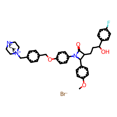 COc1ccc(C2C(CCC(O)c3ccc(F)cc3)C(=O)N2c2ccc(OCc3ccc(C[N+]45CCN(CC4)CC5)cc3)cc2)cc1.[Br-]